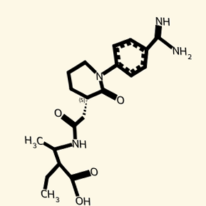 CCC(C(=O)O)C(C)NC(=O)C[C@@H]1CCCN(c2ccc(C(=N)N)cc2)C1=O